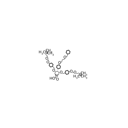 C[Si](C)(C)CCOCOc1ccc(CO[C@H]2CN(C(=O)O)C[C@@H](OCc3ccc(OCOCC[Si](C)(C)C)cc3)[C@H]2c2ccc(OCCCOCc3ccccc3)cc2)cc1